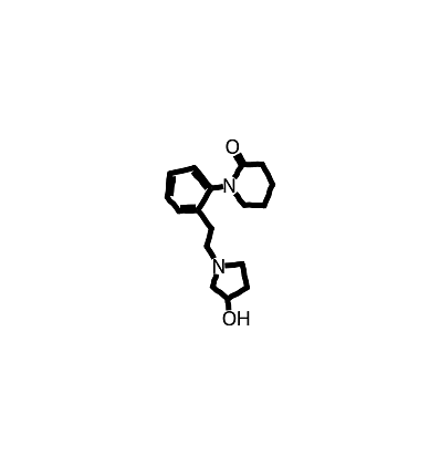 O=C1CCCCN1c1ccccc1CCN1CCC(O)C1